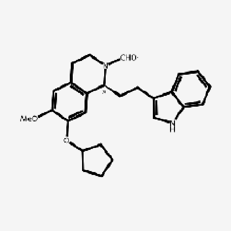 COc1cc2c(cc1OC1CCCC1)[C@H](CCc1c[nH]c3ccccc13)N([C]=O)CC2